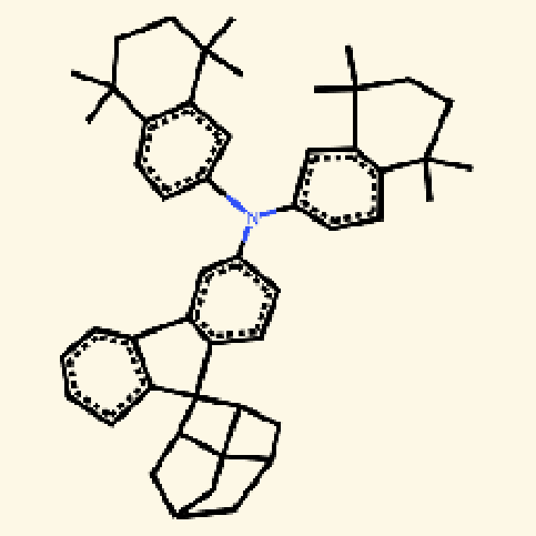 CC1(C)CCC(C)(C)c2cc(N(c3ccc4c(c3)-c3ccccc3C43C4CC5CC6CC3C64C5)c3ccc4c(c3)C(C)(C)CCC4(C)C)ccc21